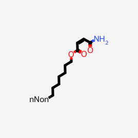 CCCCCCCCCCCCCCCCOC(=O)/C=C\C(N)=O